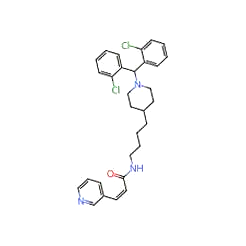 O=C(/C=C\c1cccnc1)NCCCCC1CCN(C(c2ccccc2Cl)c2ccccc2Cl)CC1